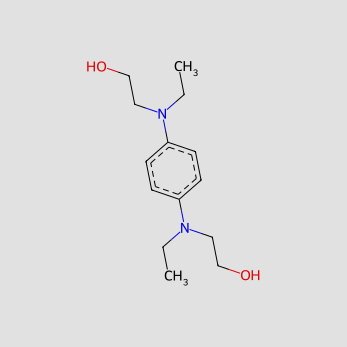 CCN(CCO)c1ccc(N(CC)CCO)cc1